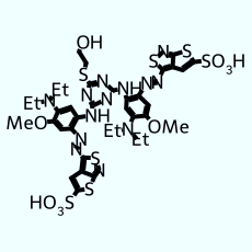 CCN(CC)c1cc(Nc2nc(Nc3cc(N(CC)CC)c(OC)cc3/N=N/c3snc4sc(S(=O)(=O)O)cc34)nc(SCCO)n2)c(/N=N/c2snc3sc(S(=O)(=O)O)cc23)cc1OC